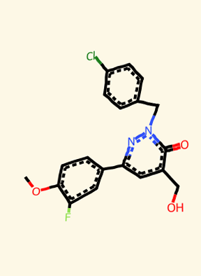 COc1ccc(-c2cc(CO)c(=O)n(Cc3ccc(Cl)cc3)n2)cc1F